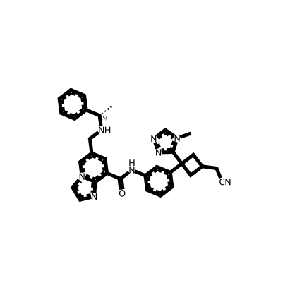 C[C@H](NCc1cc(C(=O)Nc2cccc(C3(c4nncn4C)CC(CC#N)C3)c2)c2nccn2c1)c1ccccc1